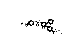 CC(=O)N(C)[C@H]1CC[C@H](CC(=O)Nc2cnc(-c3ccc(C(C)N)cc3)c(-c3ccccc3)c2)CC1